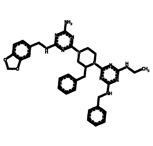 CCNc1nc(NCc2ccccc2)nc(N2CCN(c3nc(N)nc(NCc4ccc5c(c4)OCO5)n3)CC2Cc2ccccc2)n1